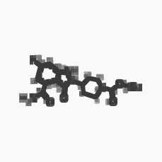 CC(C)(C)OC(=O)N1CCC(n2[nH]c3cc(F)cc(C(N)=O)c3c2=O)CC1